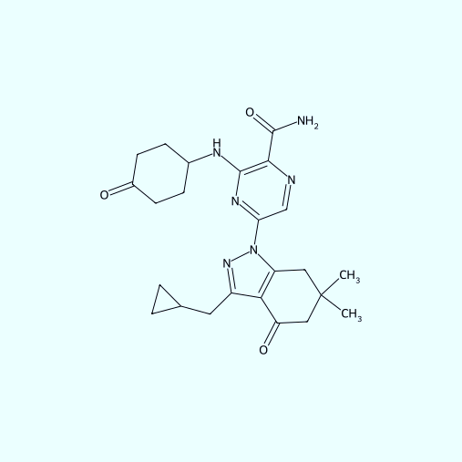 CC1(C)CC(=O)c2c(CC3CC3)nn(-c3cnc(C(N)=O)c(NC4CCC(=O)CC4)n3)c2C1